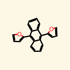 c1coc(-c2c3ccccc3c(-c3ccco3)c3ccccc23)c1